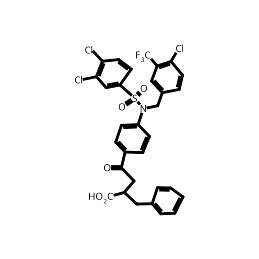 O=C(CC(Cc1ccccc1)C(=O)O)c1ccc(N(Cc2ccc(Cl)c(C(F)(F)F)c2)S(=O)(=O)c2ccc(Cl)c(Cl)c2)cc1